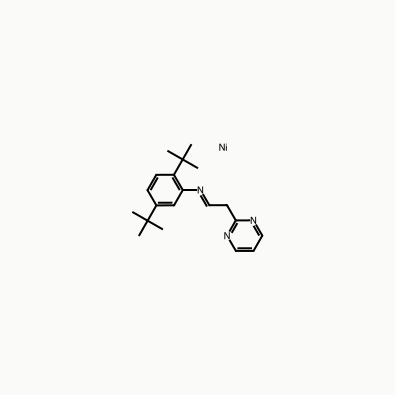 CC(C)(C)c1ccc(C(C)(C)C)c(N=CCc2ncccn2)c1.[Ni]